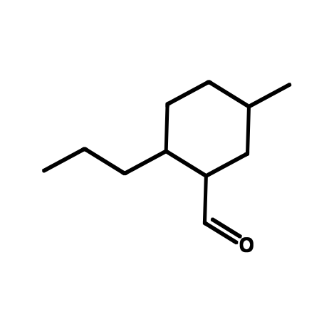 CCCC1CCC(C)CC1C=O